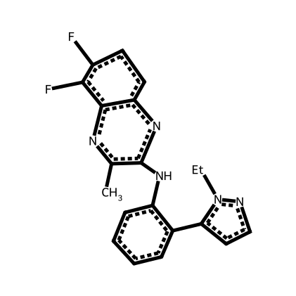 CCn1nccc1-c1ccccc1Nc1nc2ccc(F)c(F)c2nc1C